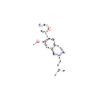 COc1cc2nc(CCC(C)C)ncc2cc1-c1cnco1